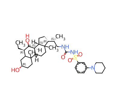 CC[C@@H]1C2C[C@H](O)CCC2(C)[C@H]2CCC3(C)[C@@H]([C@H](C)CNC(=O)NS(=O)(=O)c4cccc(N5CCCCC5)c4)CC[C@H]3[C@@H]2[C@@H]1O